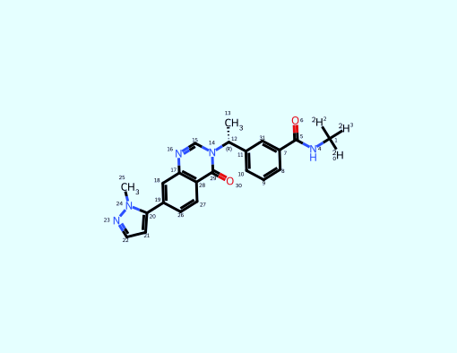 [2H]C([2H])([2H])NC(=O)c1cccc([C@@H](C)n2cnc3cc(-c4ccnn4C)ccc3c2=O)c1